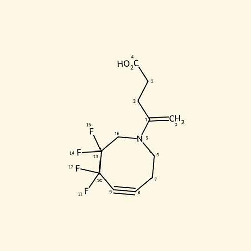 C=C(CCC(=O)O)N1CCC#CC(F)(F)C(F)(F)C1